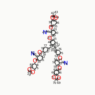 CC1(C)Oc2ccc(Oc3cccc(Oc4ccc(CCC(C)(c5ccc(Oc6cccc(Oc7ccc8c(c7)OC(C)(C)O8)c6C#N)cc5)c5ccc(Oc6cccc(Oc7ccc8c(c7)OC(C)(C)O8)c6C#N)cc5)cc4)c3C#N)cc2O1